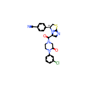 N#Cc1ccc([C@H]2CSc3ncc(C(=O)N4CCN(c5cccc(Cl)c5)C(=O)C4)n32)cc1